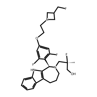 C[C@](F)(CO)CN1CCCc2c([nH]c3ccccc23)[C@H]1c1c(F)cc(OCCN2CC(CF)C2)cc1F